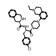 CCN1CCc2cccc(N3CCN(C(=O)[C@@H](Cc4ccc(Cl)cc4)NC(=O)[C@H]4Cc5ccccc5CN4)CC3)c2C1